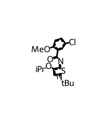 COc1ccc(Cl)cc1C(=O)N=c1sn(C(C)(C)C)cc1OC(C)C